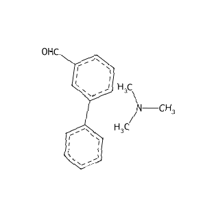 CN(C)C.O=Cc1cccc(-c2ccccc2)c1